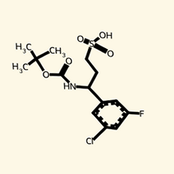 CC(C)(C)OC(=O)NC(CCS(=O)(=O)O)c1cc(F)cc(Cl)c1